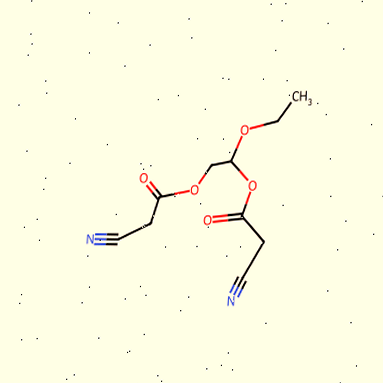 CCOC(COC(=O)CC#N)OC(=O)CC#N